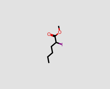 CCCCC(I)C(=O)OC